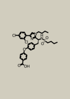 CCCCn1cc(-c2ccc(Cl)cc2Cl)nc1[C@H](Cc1ccc(Oc2ccc(C(=O)O)cc2)cc1)NS(=O)(=O)CCCC